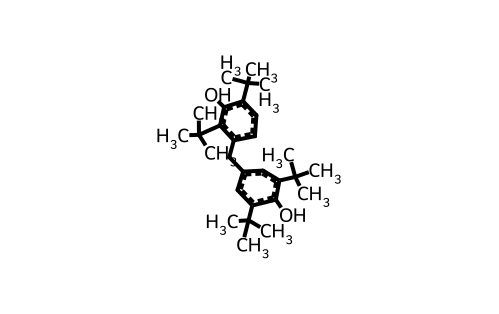 CC(C)(C)c1cc(Cc2ccc(C(C)(C)C)c(O)c2C(C)(C)C)cc(C(C)(C)C)c1O